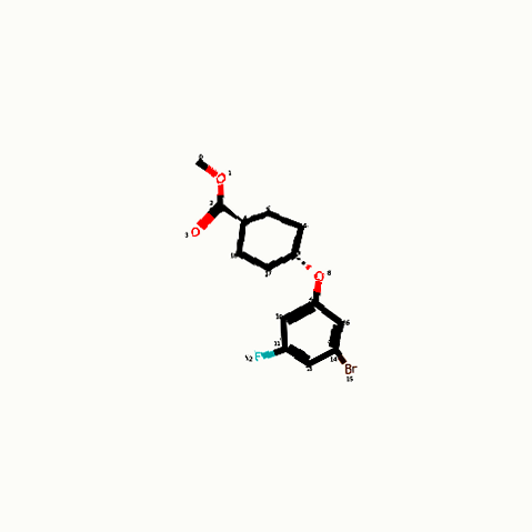 COC(=O)[C@H]1CC[C@H](Oc2cc(F)cc(Br)c2)CC1